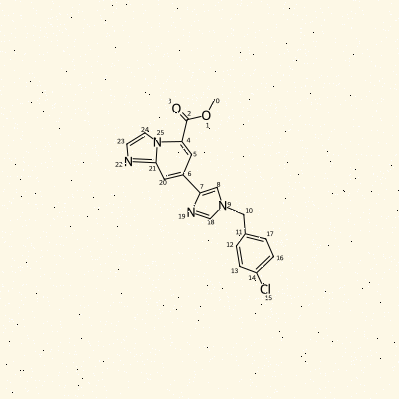 COC(=O)c1cc(-c2cn(Cc3ccc(Cl)cc3)cn2)cc2nccn12